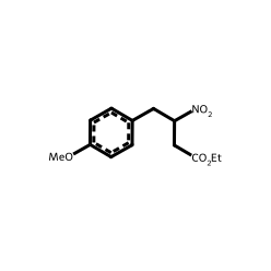 CCOC(=O)CC(Cc1ccc(OC)cc1)[N+](=O)[O-]